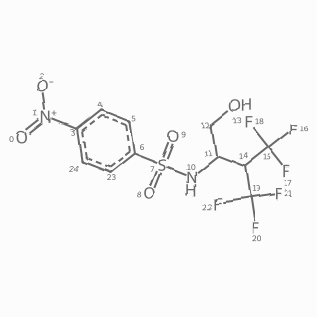 O=[N+]([O-])c1ccc(S(=O)(=O)NC(CO)C(C(F)(F)F)C(F)(F)F)cc1